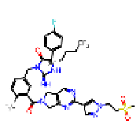 CS(=O)(=O)CCn1cc(-c2ncc3c(n2)CN(C(=O)c2cc(CN4C(=N)N[C@](CCCC(F)(F)F)(c5ccc(F)cc5)C4=O)ccc2C(F)(F)F)C3)cn1